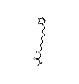 CNC(=O)CNCCCCOCCn1ccnn1